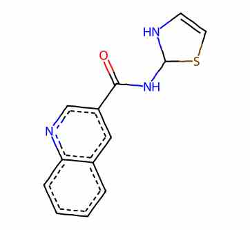 O=C(NC1NC=CS1)c1cnc2ccccc2c1